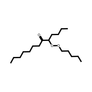 CCCCCCCC(=O)C(CCCC)OOCCCCC